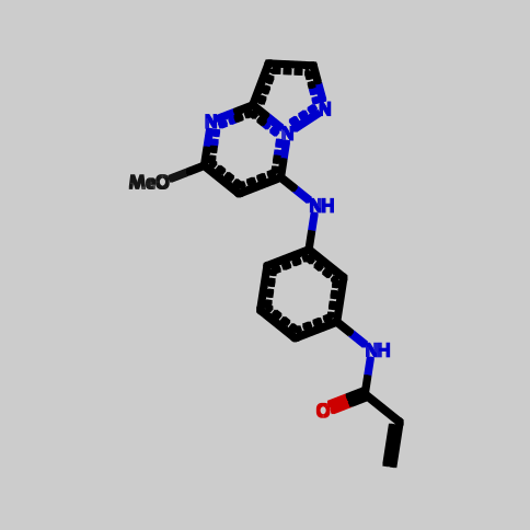 C=CC(=O)Nc1cccc(Nc2cc(OC)nc3ccnn23)c1